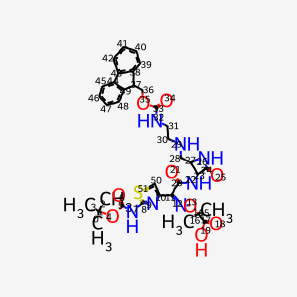 CC(C)(C)OC(=O)Nc1nc(/C(=N/OC(C)(C)C(=O)O)C(=O)N[C@@H]2C(=O)N[C@@H]2CNCCNC(=O)OCC2c3ccccc3-c3ccccc32)cs1